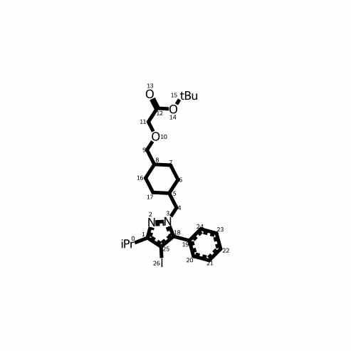 CC(C)c1nn(CC2CCC(COCC(=O)OC(C)(C)C)CC2)c(-c2ccccc2)c1I